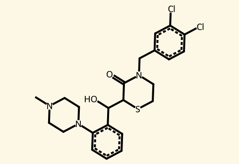 CN1CCN(c2ccccc2C(O)C2SCCN(Cc3ccc(Cl)c(Cl)c3)C2=O)CC1